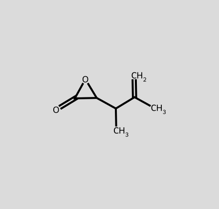 C=C(C)C(C)C1OC1=O